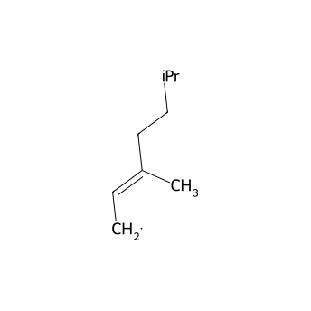 [CH2]/C=C(\C)CCC(C)C